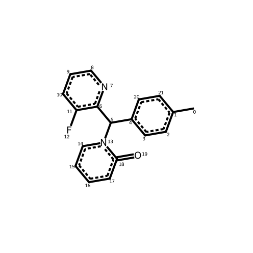 Cc1ccc(C(c2ncccc2F)n2ccccc2=O)cc1